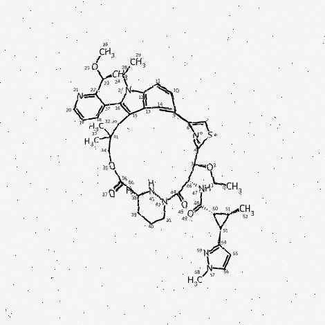 CCO[C@@H]1c2nc(cs2)-c2ccc3c(c2)c(c(-c2cccnc2[C@H](C)OC)n3CC)CC(C)(C)COC(=O)[C@@H]2CCCN(N2)C(=O)[C@H]1NC(=O)[C@@H]1[C@@H](C)[C@H]1c1ccn(C)n1